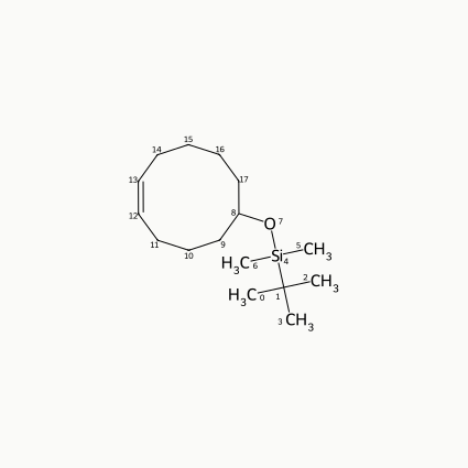 CC(C)(C)[Si](C)(C)OC1CCC/C=C\CCCC1